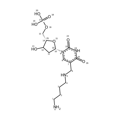 NCCCCNCc1cn([C@@H]2CC(O)[C@H](COP(=O)(O)O)O2)c(=O)[nH]c1=O